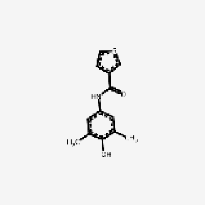 Cc1cc(NC(=O)c2ccsc2)cc(C)c1O